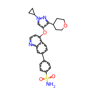 NS(=O)(=O)c1ccc(-c2ccc3c(Oc4cn(C5CC5)nc4C4CCOCC4)ccnc3c2)cc1